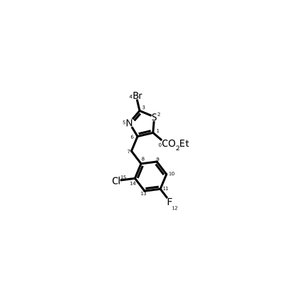 CCOC(=O)c1sc(Br)nc1Cc1ccc(F)cc1Cl